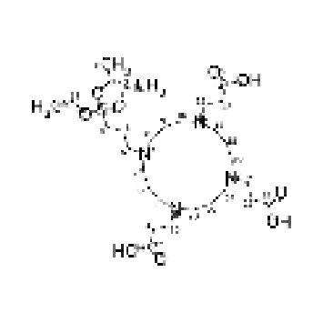 CCO[Si](CCCN1CCCN(CCC(=O)O)CCCN(CCC(=O)O)CCCN(CCC(=O)O)CCC1)(OCC)OCC